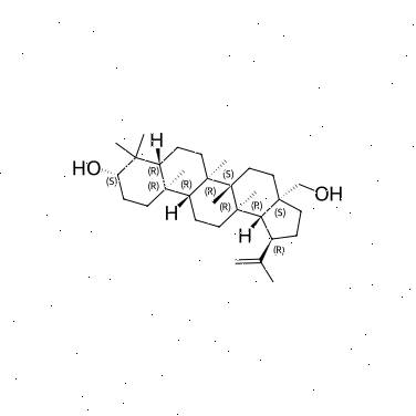 C=C(C)[C@@H]1CC[C@]2(CO)CC[C@@]3(C)[C@]4(C)CC[C@H]5C(C)(C)[C@@H](O)CC[C@]5(C)[C@H]4CC[C@]3(C)[C@@H]12